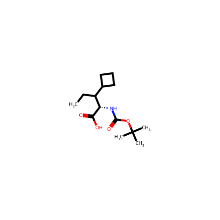 CCC(C1CCC1)[C@H](NC(=O)OC(C)(C)C)C(=O)O